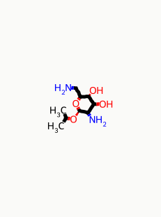 CC(C)O[C@H]1OC(CN)[C@@H](O)C(O)C1N